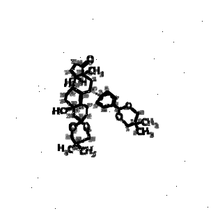 CC1(C)COC(c2ccc([C@H]3C[C@@]4(C)C(=O)CC[C@H]4[C@@H]4CC[C@@]5(O)CC6(CCC5=C43)OCC(C)(C)CO6)cc2)OC1